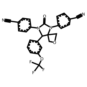 N#Cc1ccc(N2C(=O)N(c3ccc(C#N)cc3)C3(COC3)C2c2cccc(OC(F)(F)F)c2)cc1